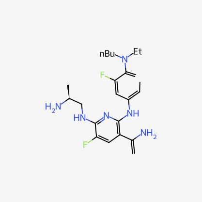 C=C(N)c1cc(F)c(NC[C@H](C)N)nc1NC(=C/C)/C=C(/F)C(=C)N(CC)CCCC